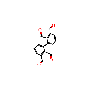 O=[C]c1cccc(-c2cccc([C]=O)c2[C]=O)c1[C]=O